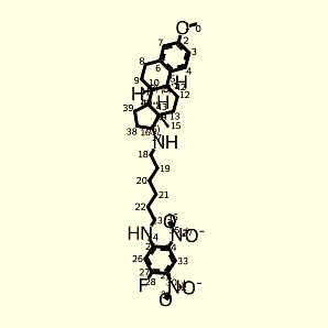 COc1ccc2c(c1)CC[C@@H]1[C@@H]2CC[C@]2(C)[C@@H](NCCCCCCNc3cc(F)c([N+](=O)[O-])cc3[N+](=O)[O-])CC[C@@H]12